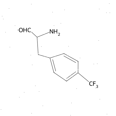 NC([C]=O)Cc1ccc(C(F)(F)F)cc1